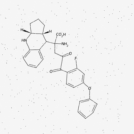 NC(CC(=O)C(=O)c1ccc(Oc2ccccc2)cc1F)(C(=O)O)C1c2ccccc2N[C@@H]2CCC[C@H]12